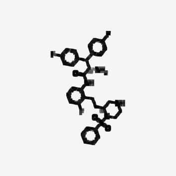 N[C@H](C(=O)Nc1cccc(F)c1CC[C@H]1CNCCN1S(=O)(=O)c1ccccc1)C(c1ccc(F)cc1)c1ccc(F)cc1